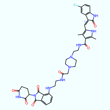 Cc1[nH]c(/C=C2\C(=O)Nc3ccc(F)cc32)c(C)c1C(=O)NCCN1CCN(CC(=O)NCCNc2cccc3c2C(=O)N(C2CCC(=O)NC2=O)C3=O)CC1